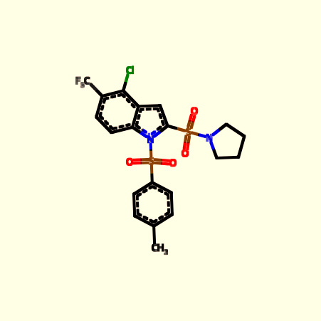 Cc1ccc(S(=O)(=O)n2c(S(=O)(=O)N3CCCC3)cc3c(Cl)c(C(F)(F)F)ccc32)cc1